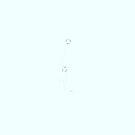 O=C(CCNCCCc1ccc(OCCCCCCCCc2ccccc2)cc1)OC(=O)C(F)(F)F